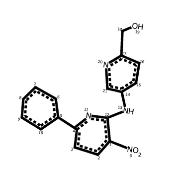 O=[N+]([O-])c1ccc(-c2ccccc2)nc1Nc1ccc(CO)nc1